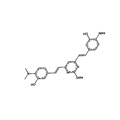 CNc1ccc(/C=C/c2cc(/C=C/c3ccc(N(C)C)c(O)c3)nc(OC)n2)cc1O